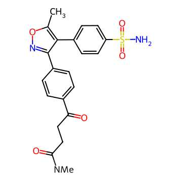 CNC(=O)CCC(=O)c1ccc(-c2noc(C)c2-c2ccc(S(N)(=O)=O)cc2)cc1